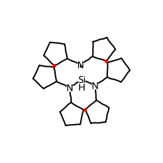 C1CCC(N(C2CCCC2)[SiH](N(C2CCCC2)C2CCCC2)N(C2CCCC2)C2CCCC2)C1